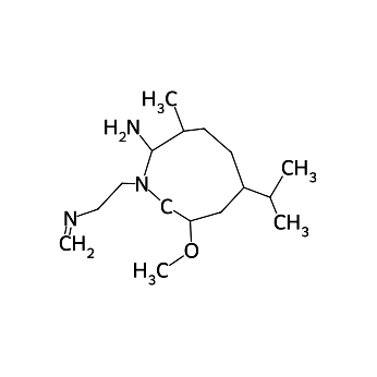 C=NCCN1CC(OC)CC(C(C)C)CCC(C)C1N